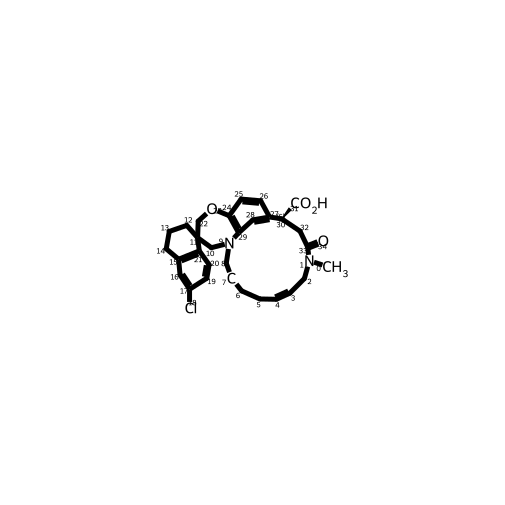 CN1CC=CCCCCN2CC3(CCCc4cc(Cl)ccc43)COc3ccc(cc32)[C@@H](C(=O)O)CC1=O